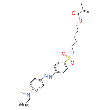 C=C(C)C(=O)OCCCCCCS(=O)(=O)c1ccc(N=Nc2ccc(N(C)C[C@H](C)CC)cc2)cc1